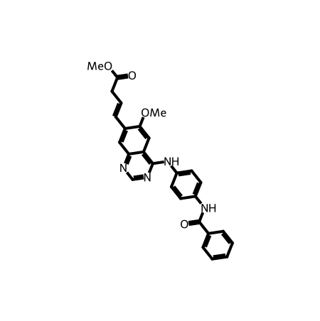 COC(=O)CC=Cc1cc2ncnc(Nc3ccc(NC(=O)c4ccccc4)cc3)c2cc1OC